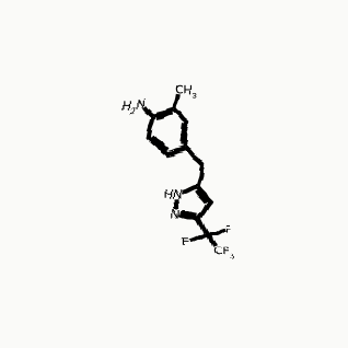 Cc1cc(Cc2cc(C(F)(F)C(F)(F)F)n[nH]2)ccc1N